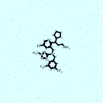 CCc1cnc(C(CCN)C2CCCC2)c(CN(Cc2cc(C(F)(F)F)cc(C(F)(F)F)c2)c2nnn(C)n2)c1